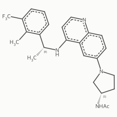 CC(=O)N[C@H]1CCN(c2ccc3nccc(N[C@H](C)c4cccc(C(F)(F)F)c4C)c3c2)C1